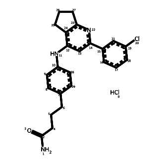 Cl.NC(=O)CCCc1ccc(Nc2cc(-c3cccc(Cl)c3)nc3c2CCC3)cc1